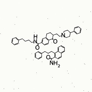 NC(=O)c1ccc2ccccc2c1CCCc1ccccc1.O=C(NCCCCc1ccccc1)c1ccc2c(c1)CCC(CCN1CCC(c3ccccc3)CC1)C2=O